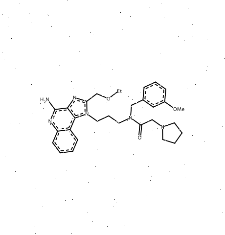 CCOCc1nc2c(N)nc3ccccc3c2n1CCCN(Cc1cccc(OC)c1)C(=O)CN1CCCC1